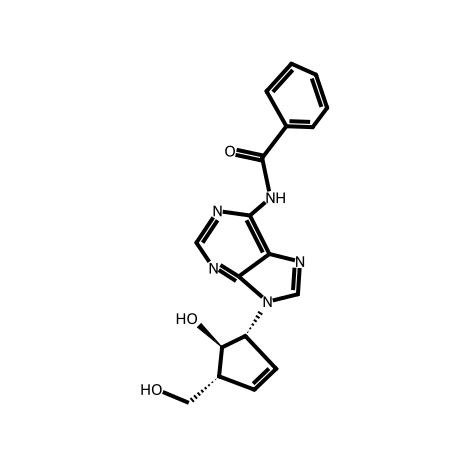 O=C(Nc1ncnc2c1ncn2[C@@H]1C=C[C@H](CO)[C@H]1O)c1ccccc1